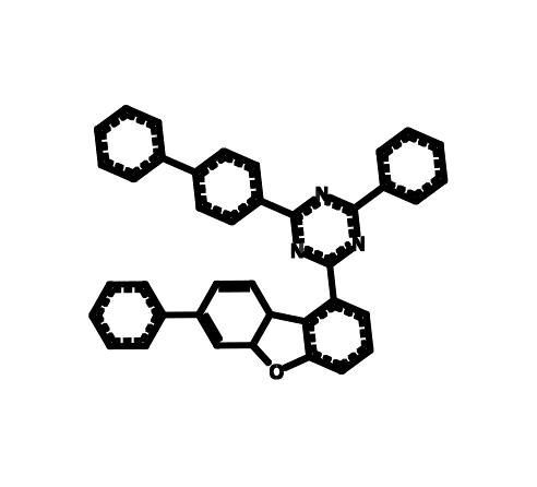 C1=CC2c3c(cccc3-c3nc(-c4ccccc4)nc(-c4ccc(-c5ccccc5)cc4)n3)OC2C=C1c1ccccc1